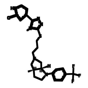 Cn1c(SCCCN2C[C@H]3N(c4ccc(C(F)(F)F)cc4)CC[C@@]3(C)C2)nnc1-c1cc[nH]c(=O)c1